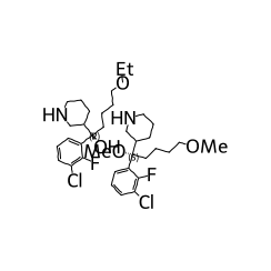 CCOCCCC[C@](O)(c1cccc(Cl)c1F)C1CCCNC1.COCCCC[C@@](OC)(c1cccc(Cl)c1F)C1CCCNC1